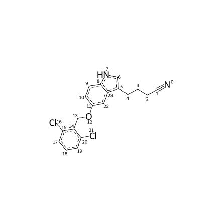 N#CCCCc1c[nH]c2ccc(OCc3c(Cl)cccc3Cl)cc12